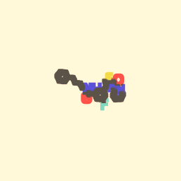 O=C(NCCCCc1ccccc1)c1cc(F)cc(-c2csc(=O)n2-c2ccccn2)c1